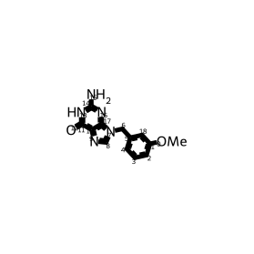 COc1cccc(Cn2cnc3c(=O)[nH]c(N)nc32)c1